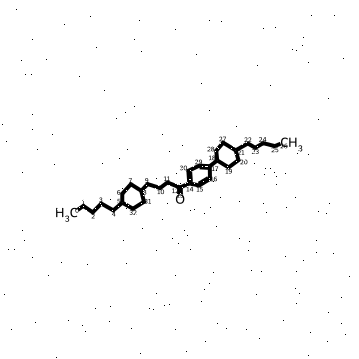 CCCCCC1CCC(CCCC(=O)c2ccc(C3CCC(CCCCC)CC3)cc2)CC1